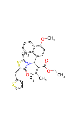 C=c1s/c(=C/c2cccs2)c(=O)n1C(C(C(=O)OCC)=C(C)C)c1ccc(OC)c2ccccc12